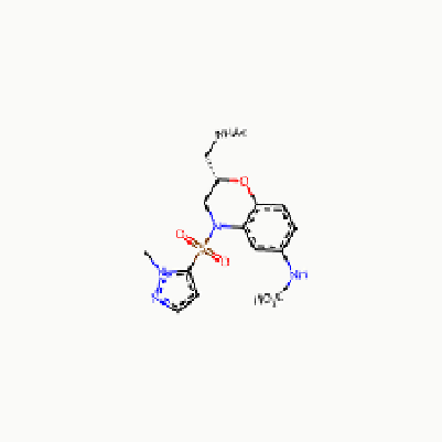 CC(=O)NC[C@H]1CN(S(=O)(=O)c2ccnn2C)c2cc(NC(=O)O)ccc2O1